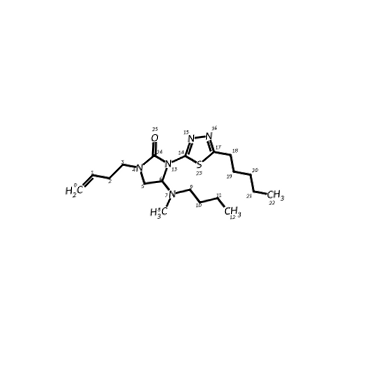 C=CCCN1CC(N(C)CCCC)N(c2nnc(CCCCC)s2)C1=O